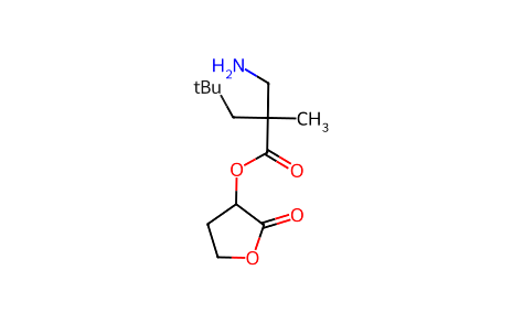 CC(C)(C)CC(C)(CN)C(=O)OC1CCOC1=O